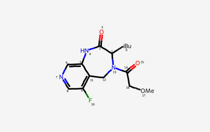 CCC(C)C1C(=O)Nc2cncc(F)c2CN1C(=O)COC